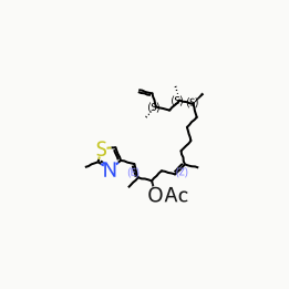 C=C[C@@H](C)C[C@H](C)[C@@H](C)CCCC/C(C)=C\CC(OC(C)=O)/C(C)=C/c1csc(C)n1